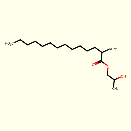 CCCCCCCCC(CCCCCCCCCCCC(=O)O)C(=O)OCC(C)O